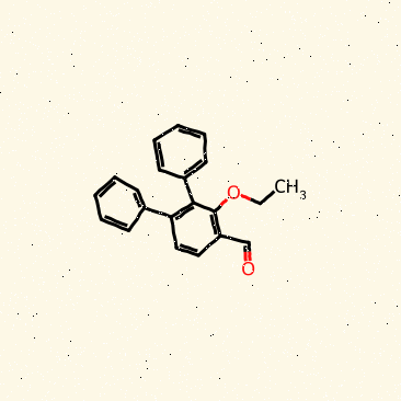 CCOc1c(C=O)ccc(-c2ccccc2)c1-c1ccccc1